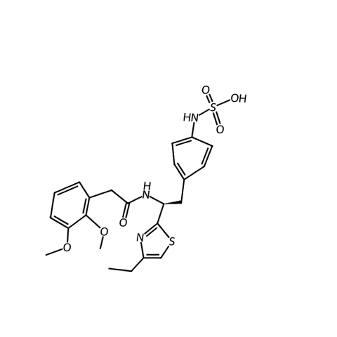 CCc1csc([C@H](Cc2ccc(NS(=O)(=O)O)cc2)NC(=O)Cc2cccc(OC)c2OC)n1